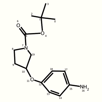 CC(C)(C)OC(=O)N1CCC(Oc2ccc(N)cc2)C1